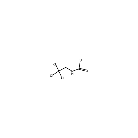 O=C(S)NCC(Cl)(Cl)Cl